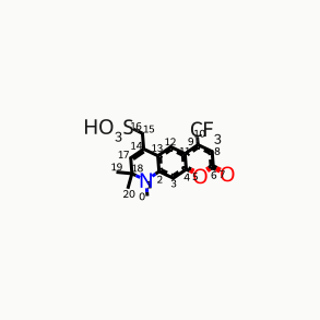 CN1c2cc3oc(=O)cc(C(F)(F)F)c3cc2C(CS(=O)(=O)O)=CC1(C)C